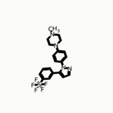 CN1CCN(c2ccc(-n3nccc3-c3cccc(S(F)(F)(F)(F)F)c3)cc2)CC1